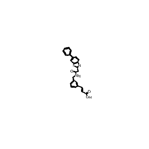 O=C(O)/C=C/c1cccc(CNC(=O)Cc2nc3ccc(-c4ccccc4)cc3s2)c1